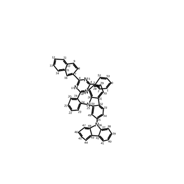 c1ccc(-c2nc(-c3ccc4ccccc4c3)nc(-c3ccccc3-n3c4ccccc4c4ccc(-n5c6ccccc6c6ccccc65)cc43)n2)cc1